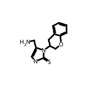 NCC1=C[N]C(=S)N1C1COc2ccccc2C1